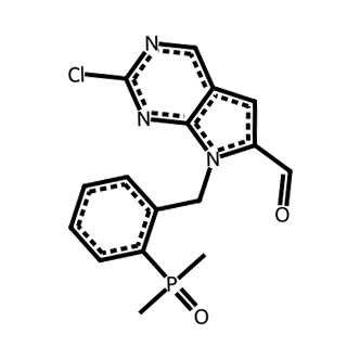 CP(C)(=O)c1ccccc1Cn1c(C=O)cc2cnc(Cl)nc21